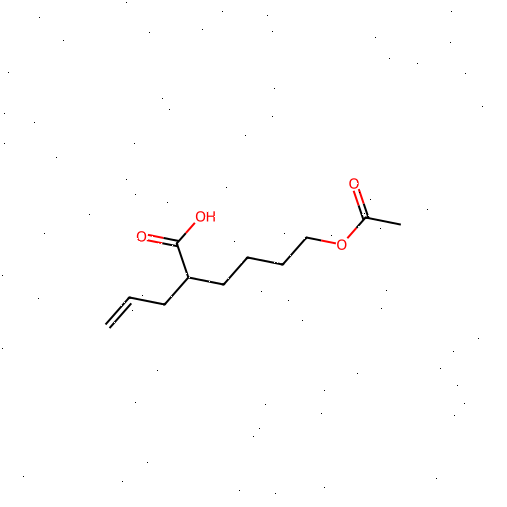 C=CCC(CCCCOC(C)=O)C(=O)O